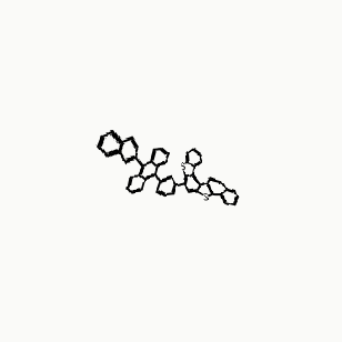 c1cc(-c2c3ccccc3c(-c3ccc4ccccc4c3)c3ccccc23)cc(-c2cc3sc4c5ccccc5ccc4c3c3c2sc2ccccc23)c1